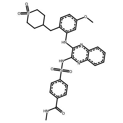 CNC(=O)c1ccc(S(=O)(=O)Nc2nc3ccccc3nc2Nc2cc(OC)ccc2CC2CCS(=O)(=O)CC2)cc1